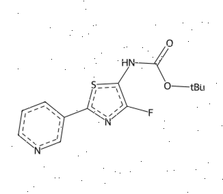 CC(C)(C)OC(=O)Nc1sc(-c2cccnc2)nc1F